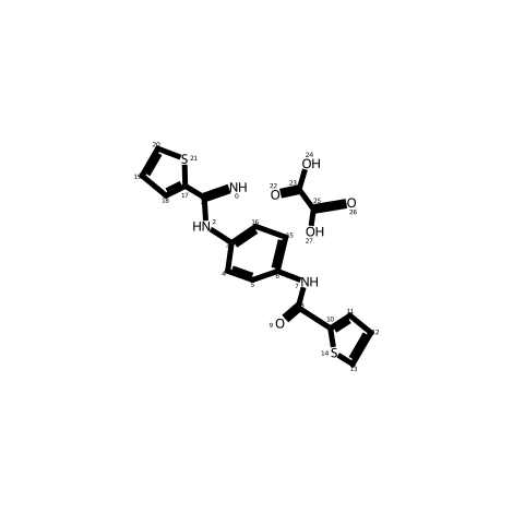 N=C(Nc1ccc(NC(=O)c2cccs2)cc1)c1cccs1.O=C(O)C(=O)O